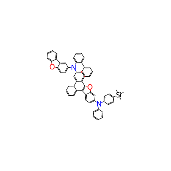 C[Si](C)(C)c1ccc(N(c2ccccc2)c2ccc3c(c2)oc2c4ccc(N(c5ccc6oc7ccccc7c6c5)c5ccccc5-c5ccccc5)cc4c4ccccc4c32)cc1